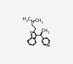 C=C(c1ccncc1)c1c(CCN(C)C)sc2ccccc12